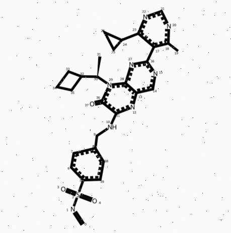 C=NS(=O)(=O)c1ccc(CNc2nc3cnc(-c4c(C)ncnc4C4CC4)nc3n([C@H](C)C3CCC3)c2=O)cc1